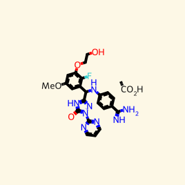 CC(=O)O.COc1cc(OCCO)c(F)c(C(Nc2ccc(C(=N)N)cc2)c2nn(-c3ncccn3)c(=O)[nH]2)c1